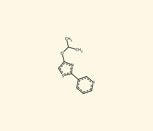 CC(C)Oc1csc(-c2cccnc2)n1